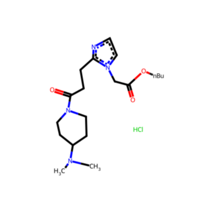 CCCCOC(=O)Cn1ccnc1CCC(=O)N1CCC(N(C)C)CC1.Cl